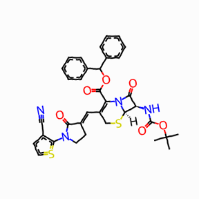 CC(C)(C)OC(=O)N[C@@H]1C(=O)N2C(C(=O)OC(c3ccccc3)c3ccccc3)=C(/C=C3\CCN(c4sccc4C#N)C3=O)CS[C@H]12